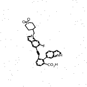 O=C(O)c1cccc(C#Cc2cc3ccn(CC4CCS(=O)(=O)CC4)c3cc2F)c1-c1ccc2cc[nH]c2c1